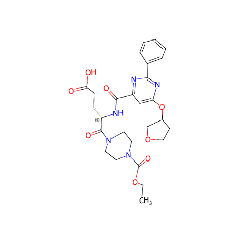 CCOC(=O)N1CCN(C(=O)[C@H](CCC(=O)O)NC(=O)c2cc(OC3CCOC3)nc(-c3ccccc3)n2)CC1